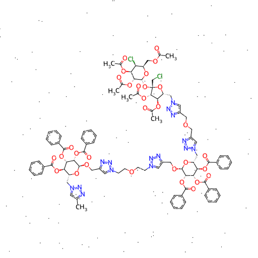 CC(=O)OC[C@H]1O[C@H](O[C@]2(CCl)O[C@H](Cn3cc(COCc4cn(C[C@H]5O[C@H](OCc6cn(CCOCCn7cc(CO[C@H]8O[C@H](Cn9cc(C)nn9)[C@@H](OC(=O)c9ccccc9)[C@H](OC(=O)c9ccccc9)[C@@H]8OC(=O)c8ccccc8)nn7)nn6)[C@@H](OC(=O)c6ccccc6)[C@@H](OC(=O)c6ccccc6)[C@@H]5OC(=O)c5ccccc5)nn4)nn3)[C@@H](OC(C)=O)[C@@H]2OC(C)=O)[C@H](OC(C)=O)[C@@H](OC(C)=O)[C@H]1Cl